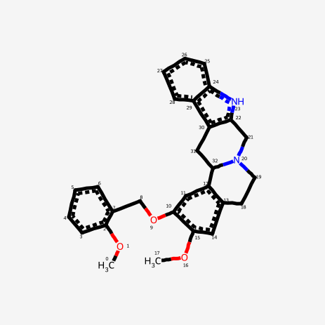 COc1ccccc1COc1cc2c(cc1OC)CCN1Cc3[nH]c4ccccc4c3CC21